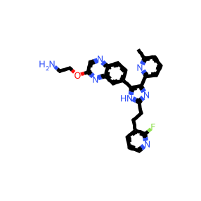 Cc1cccc(-c2nc(CCc3cccnc3F)[nH]c2-c2ccc3ncc(OCCN)nc3c2)n1